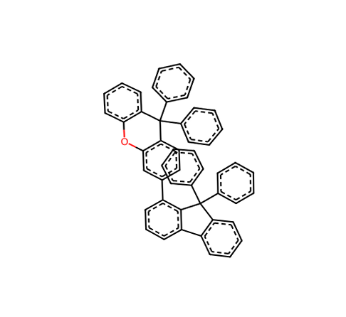 c1ccc(C2(c3ccccc3)c3ccccc3Oc3cc(-c4cccc5c4C(c4ccccc4)(c4ccccc4)c4ccccc4-5)ccc32)cc1